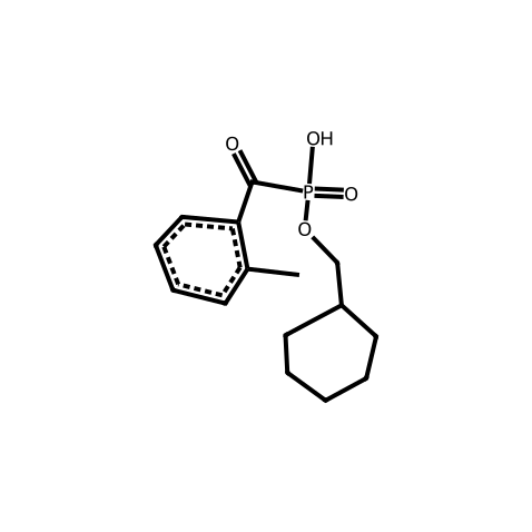 Cc1ccccc1C(=O)P(=O)(O)OCC1CCCCC1